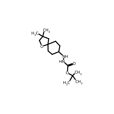 CC1(C)COC2(CCC(NNC(=O)OC(C)(C)C)CC2)C1